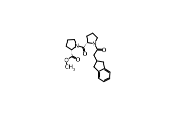 COC(=O)[C@@H]1CCCN1C(=O)[C@@H]1CCCN1C(=O)CC1Cc2ccccc2C1